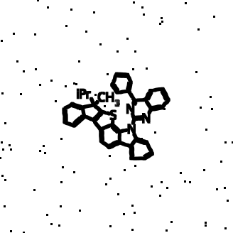 CC(C)C1(C)c2ccccc2-c2c1sc1c2ccc2c3ccccc3n(-c3nc(-c4ccccc4)c4ccccc4n3)c21